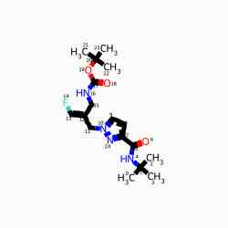 CC(C)(C)NC(=O)c1ccn(C/C(=C/F)CNC(=O)OC(C)(C)C)n1